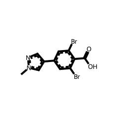 Cn1cc(-c2cc(Br)c(C(=O)O)c(Br)c2)cn1